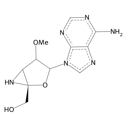 COC1C(n2cnc3c(N)ncnc32)O[C@]2(CO)NC12